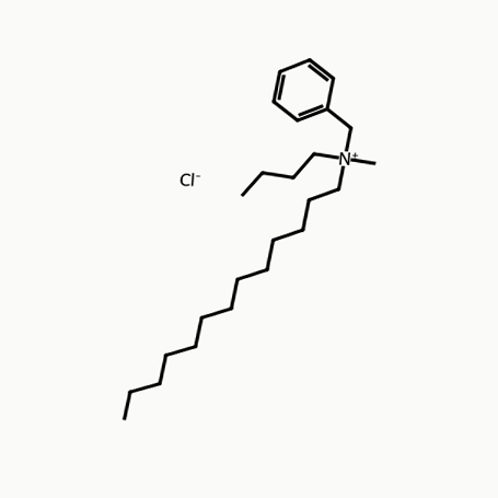 CCCCCCCCCCCCC[N+](C)(CCCC)Cc1ccccc1.[Cl-]